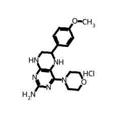 COc1ccc(C2CNc3nc(N)nc(N4CCOCC4)c3N2)cc1.Cl